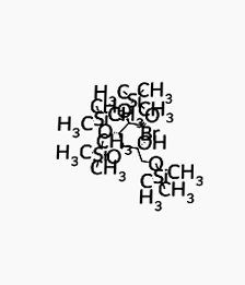 C[Si](C)(C)OC[C@@H](O)[C@@H](O[Si](C)(C)C)[C@H](O[Si](C)(C)C)[C@@H](O[Si](C)(C)C)C(=O)Br